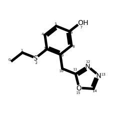 CCSc1ccc(O)cc1Cc1nnco1